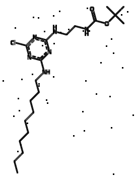 CCCCCCCCCCNc1nc(Cl)nc(NCCNC(=O)OC(C)(C)C)n1